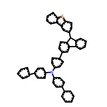 c1ccc(-c2ccc(N(c3ccc(-c4ccccc4)cc3)c3ccc(-c4ccc5c(c4)-c4ccccc4C5c4ccc5sc6ccccc6c5c4)cc3)cc2)cc1